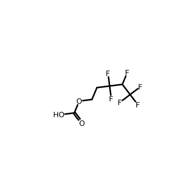 O=C(O)OCCC(F)(F)C(F)C(F)(F)F